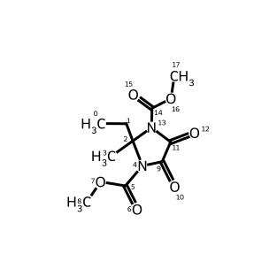 CCC1(C)N(C(=O)OC)C(=O)C(=O)N1C(=O)OC